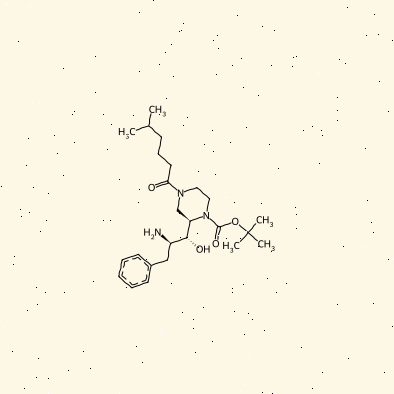 CC(C)CCCC(=O)N1CCN(C(=O)OC(C)(C)C)[C@@H]([C@H](O)[C@H](N)Cc2ccccc2)C1